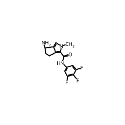 Cn1cc2c(c1C(=O)Nc1cc(F)c(F)c(F)c1)CCC2N